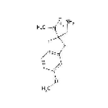 COc1ccc2c(c1)CC(CN)(N(C)C)C2